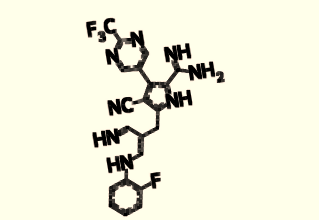 N#Cc1c(C/C(C=N)=C/Nc2ccccc2F)[nH]c(C(=N)N)c1-c1cnc(C(F)(F)F)nc1